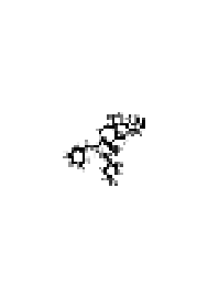 C[C@H]1c2oncc2C[C@@]2(C)c3nc(-c4ccncc4)nc(Cc4ccccc4)c3CC[C@H]12